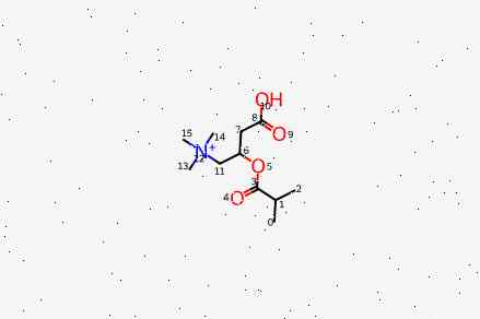 CC(C)C(=O)OC(CC(=O)O)C[N+](C)(C)C